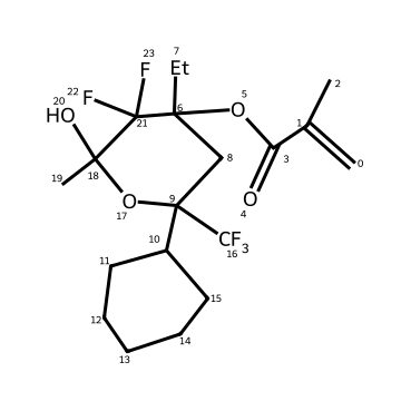 C=C(C)C(=O)OC1(CC)CC(C2CCCCC2)(C(F)(F)F)OC(C)(O)C1(F)F